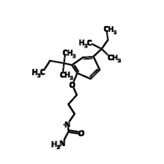 CCC(C)(C)c1ccc(OCCC[N]C(N)=O)c(C(C)(C)CC)c1